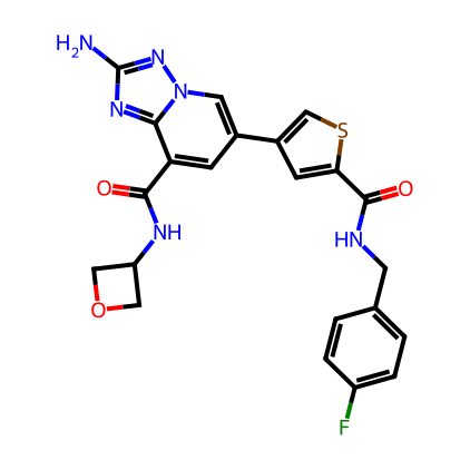 Nc1nc2c(C(=O)NC3COC3)cc(-c3csc(C(=O)NCc4ccc(F)cc4)c3)cn2n1